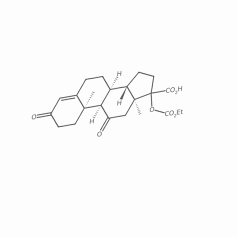 CCOC(=O)OC1(C(=O)O)CC[C@H]2[C@@H]3CCC4=CC(=O)CC[C@]4(C)[C@@H]3C(=O)C[C@@]21C